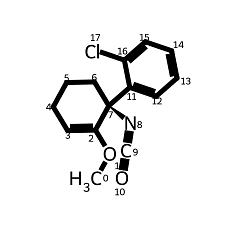 COC1=CCCC[C@]1(N=C=O)c1ccccc1Cl